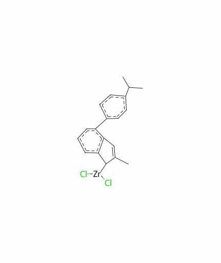 CC1=Cc2c(-c3ccc(C(C)C)cc3)cccc2[CH]1[Zr]([Cl])[Cl]